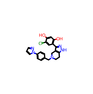 Oc1cc(O)c(-c2n[nH]c3c2CN(Cc2ccc(-n4cccn4)cc2)CC3)cc1Cl